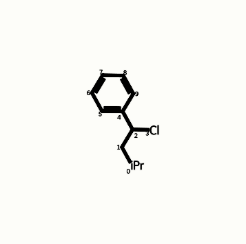 CC(C)CC(Cl)c1ccccc1